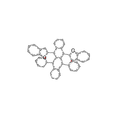 c1ccc(-c2c3ccccc3c(-c3ccccc3)c3c(-c4cc5ccccc5o4)c4ccccc4c(-c4cc5ccccc5o4)c23)cc1